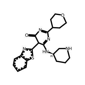 O=C1N=C(C2CCOCC2)N=C(N[C@@H]2CCCNC2)C1c1nc2ccccc2s1